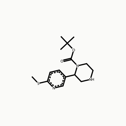 CSc1ccc(C2CNCCN2C(=O)OC(C)(C)C)cn1